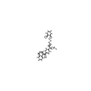 CC(=NOCCCOc1ccccc1Cl)c1ccc(Nc2ncnc3ccccc23)cc1